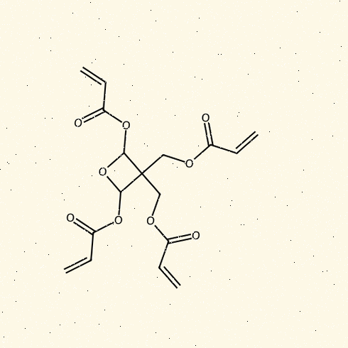 C=CC(=O)OCC1(COC(=O)C=C)C(OC(=O)C=C)OC1OC(=O)C=C